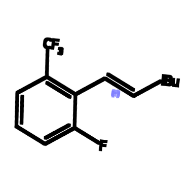 CCC(C)/C=C/c1c(F)cccc1C(F)(F)F